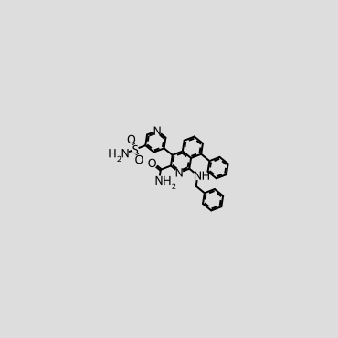 NC(=O)c1nc(NCc2ccccc2)c2c(-c3ccccc3)cccc2c1-c1cncc(S(N)(=O)=O)c1